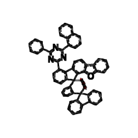 c1ccc(-c2nc(-c3cccc4c3-c3ccc5c(oc6ccccc65)c3C43c4ccccc4C4(c5ccccc5-c5ccccc54)c4ccccc43)nc(-c3cccc4ccccc34)n2)cc1